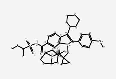 CCC(C)S(=O)(=O)NC(=O)c1ccc2c(C3CCCCC3)c(-c3ccc(OC)cc3)n(CC3(C(=O)N4C5CCC4CN(C)C5)CC3)c2c1